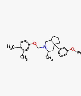 Cc1ccc(OCN2CC3CCCC3(c3cccc(OC(C)C)c3)CC2C)cc1C